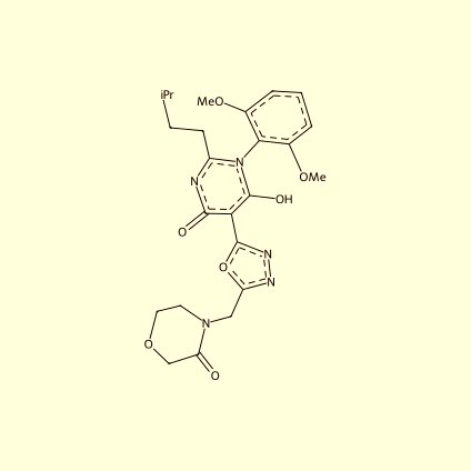 COc1cccc(OC)c1-n1c(CCC(C)C)nc(=O)c(-c2nnc(CN3CCOCC3=O)o2)c1O